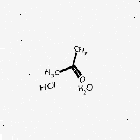 CC(C)=O.Cl.O